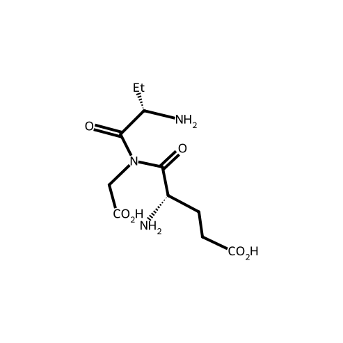 CC[C@H](N)C(=O)N(CC(=O)O)C(=O)[C@@H](N)CCC(=O)O